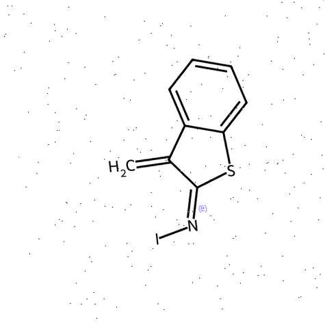 C=C1/C(=N\I)Sc2ccccc21